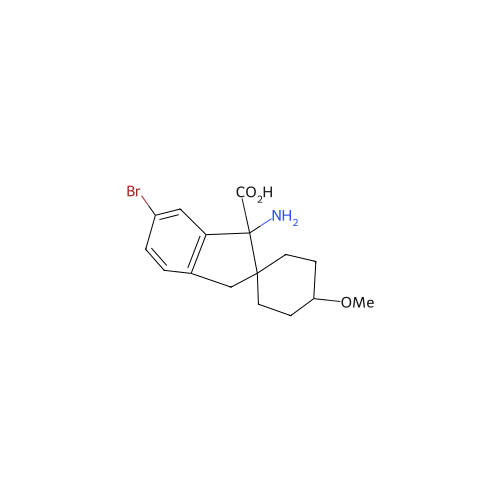 COC1CCC2(CC1)Cc1ccc(Br)cc1C2(N)C(=O)O